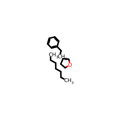 C1CCOC1.CCCCCCC.CCc1ccccc1